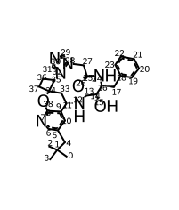 CC(C)(C)Cc1cnc2c(c1)[C@@H](NC[C@H](O)[C@H](Cc1ccccc1)NC(=O)Cn1cncn1)CC1(CCC1)O2